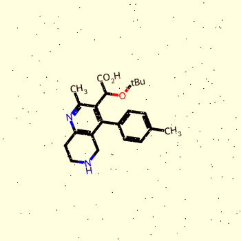 Cc1ccc(-c2c3c(nc(C)c2C(OC(C)(C)C)C(=O)O)CCNC3)cc1